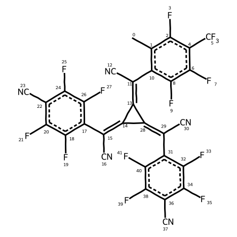 Cc1c(F)c(C(F)(F)F)c(F)c(F)c1/C(C#N)=C1/C(=C(C#N)c2c(F)c(F)c(C#N)c(F)c2F)/C1=C(/C#N)c1c(F)c(F)c(C#N)c(F)c1F